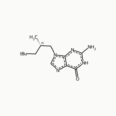 C[C@H](Cn1cnc2c(=O)[nH]c(N)nc21)CC(C)(C)C